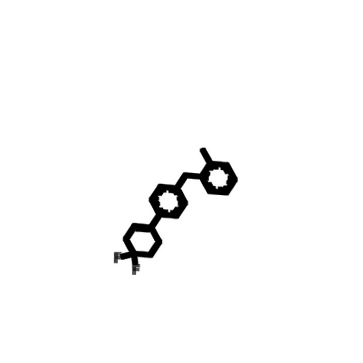 Cc1ccccc1Cc1ccc(C2=CCC(F)(F)CC2)cc1